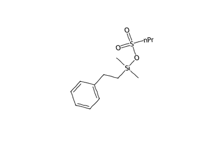 CCCS(=O)(=O)O[Si](C)(C)CCc1ccccc1